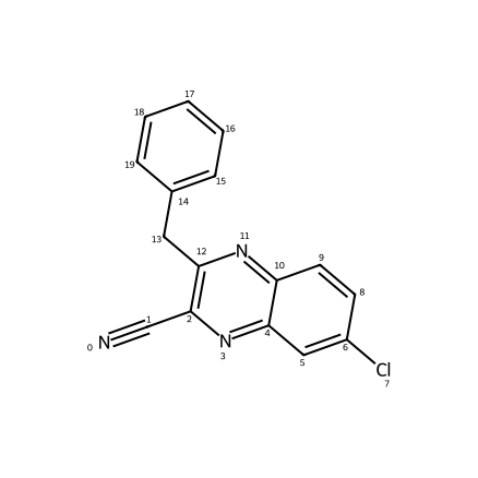 N#Cc1nc2cc(Cl)ccc2nc1Cc1ccccc1